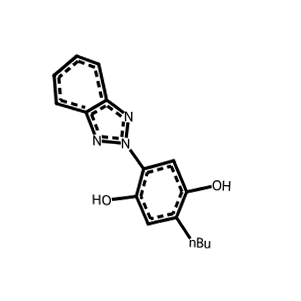 CCCCc1cc(O)c(-n2nc3ccccc3n2)cc1O